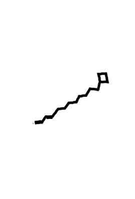 [CH]=CC=CCCCCCCC[CH]C1CCC1